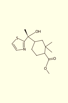 COC(=O)C1CCC([C@@](C)(O)c2nccs2)CC1(C)C